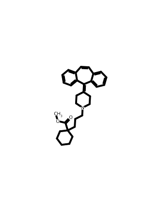 COC(=O)C1(CCCN2CCC(=C3c4ccccc4C=Cc4ccccc43)CC2)CCCCC1